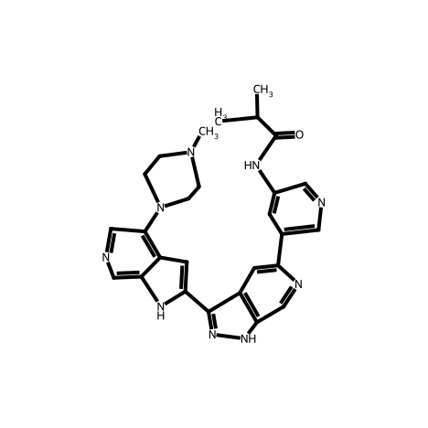 CC(C)C(=O)Nc1cncc(-c2cc3c(-c4cc5c(N6CCN(C)CC6)cncc5[nH]4)n[nH]c3cn2)c1